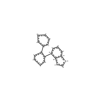 c1ccc(-c2ccccc2-c2cccc3scnc23)cc1